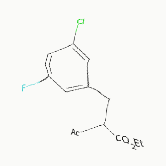 CCOC(=O)C(Cc1cc(F)cc(Cl)c1)C(C)=O